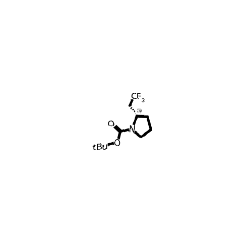 CC(C)(C)OC(=O)N1CCC[C@H]1CC(F)(F)F